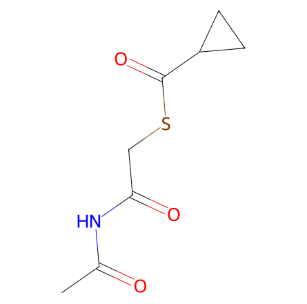 CC(=O)NC(=O)CSC(=O)C1CC1